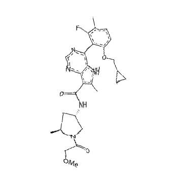 COCC(=O)N1C[C@@H](NC(=O)c2c(C)[nH]c3c(-c4c(OCC5CC5)ccc(C)c4F)ncnc23)C[C@@H]1C